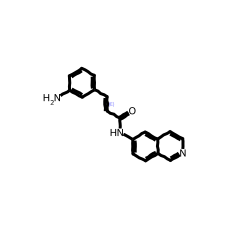 Nc1cccc(/C=C/C(=O)Nc2ccc3cnccc3c2)c1